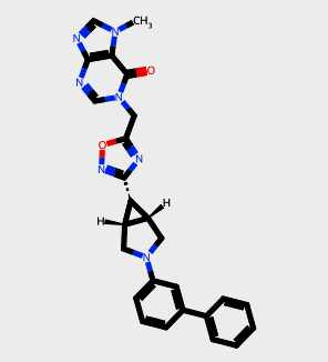 Cn1cnc2ncn(Cc3nc([C@@H]4[C@@H]5CN(c6cccc(-c7ccccc7)c6)C[C@@H]54)no3)c(=O)c21